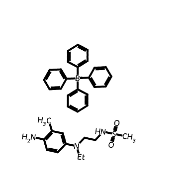 CCN(CCNS(C)(=O)=O)c1ccc(N)c(C)c1.c1ccc([B-](c2ccccc2)(c2ccccc2)c2ccccc2)cc1